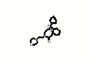 O=C1CC2(CCCCC2Cc2ccccc2)S(=O)(=O)CCN1CCN1CCOCC1